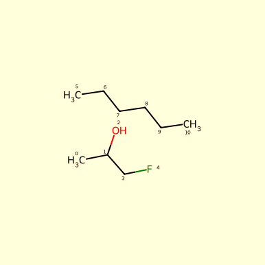 CC(O)CF.CCCCCC